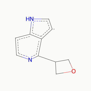 [c]1c[nH]c2ccnc(C3COC3)c12